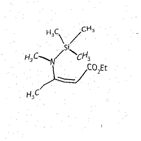 CCOC(=O)C=C(C)N(C)[Si](C)(C)C